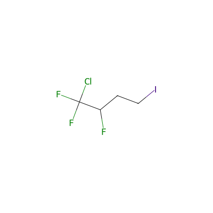 FC(CCI)C(F)(F)Cl